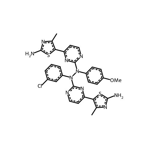 COc1ccc(N(c2nccc(-c3sc(N)nc3C)n2)N(c2cccc(Cl)c2)c2nccc(-c3sc(N)nc3C)n2)cc1